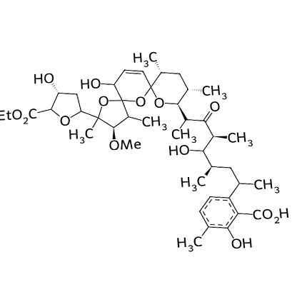 CCOC(=O)C1OC(C2(C)OC3(OC4(C=CC3O)O[C@H](C(C)C(=O)[C@@H](C)C(O)[C@H](C)CC(C)c3ccc(C)c(O)c3C(=O)O)[C@@H](C)C[C@H]4C)C(C)[C@H]2OC)C[C@H]1O